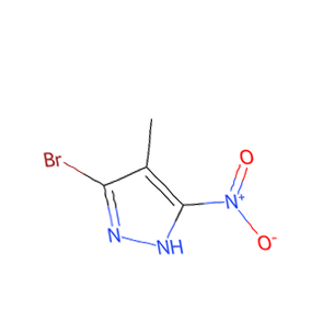 Cc1c(Br)n[nH]c1[N+](=O)[O-]